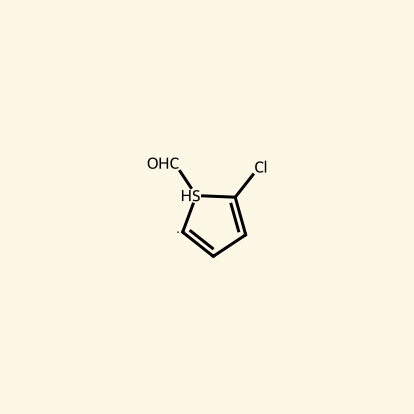 O=C[SH]1[C]=CC=C1Cl